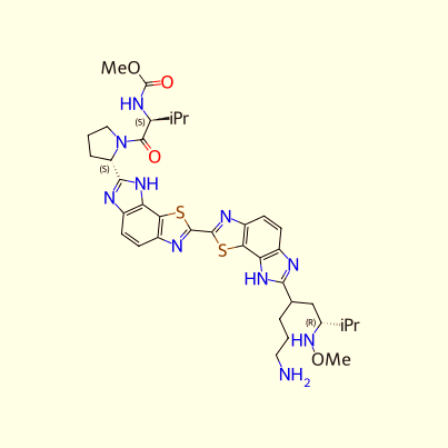 CON[C@H](CC(CCCN)c1nc2ccc3nc(-c4nc5ccc6nc([C@@H]7CCCN7C(=O)[C@@H](NC(=O)OC)C(C)C)[nH]c6c5s4)sc3c2[nH]1)C(C)C